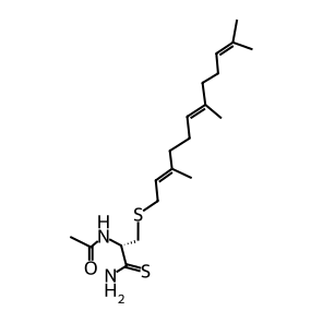 CC(=O)N[C@H](CSC/C=C(\C)CC/C=C(\C)CCC=C(C)C)C(N)=S